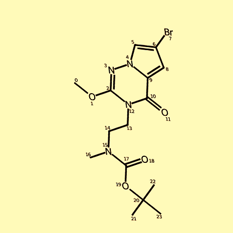 COc1nn2cc(Br)cc2c(=O)n1CCN(C)C(=O)OC(C)(C)C